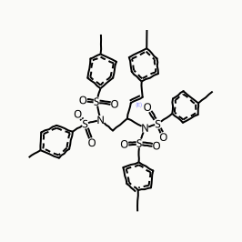 Cc1ccc(/C=C/C(CN(S(=O)(=O)c2ccc(C)cc2)S(=O)(=O)c2ccc(C)cc2)N(S(=O)(=O)c2ccc(C)cc2)S(=O)(=O)c2ccc(C)cc2)cc1